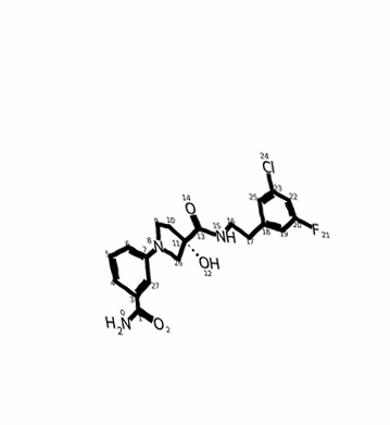 NC(=O)c1cccc(N2CC[C@@](O)(C(=O)NCCc3cc(F)cc(Cl)c3)C2)c1